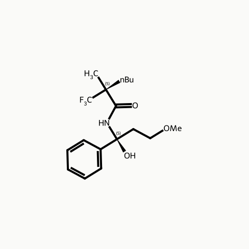 CCCC[C@@](C)(C(=O)N[C@](O)(CCOC)c1ccccc1)C(F)(F)F